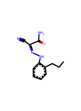 CCCc1ccccc1N/N=C(/C#N)C(N)=O